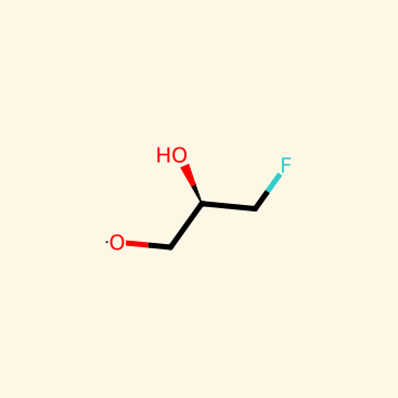 [O]C[C@@H](O)CF